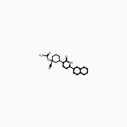 N#CC1(OC(N)=O)CCCC(c2ccc(-c3ccc4ccccc4c3)[nH]c2=O)C1